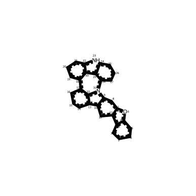 c1ccc2c(c1)oc1cc3c(cc12)c1cccc2c4cccc5[nH]c6cccc(c6c54)n3c21